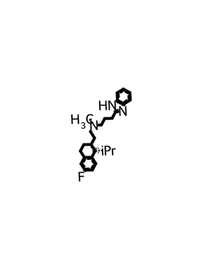 CC(C)[C@H]1[C](CCN(C)CCCc2nc3ccccc3[nH]2)CCc2cc(F)ccc21